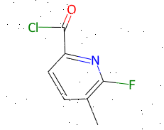 Cc1ccc(C(=O)Cl)nc1F